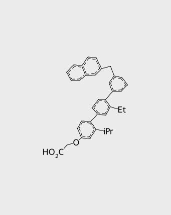 CCc1cc(-c2ccc(OCC(=O)O)cc2C(C)C)ccc1-c1cccc(Cc2ccc3ccccc3c2)c1